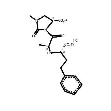 CCOC(=O)[C@H](CCc1ccccc1)N[C@@H](C)C(=O)N1C(=O)N(C)C[C@H]1C(=O)O.Cl